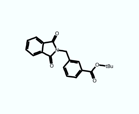 CC(C)(C)OC(=O)c1cccc(CN2C(=O)c3ccccc3C2=O)c1